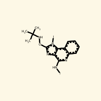 CC(C)(C)NOc1nc2c(NI)nc3ccccc3c2n1I